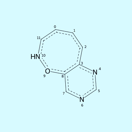 c1ccc2ncncc2o[nH]c1